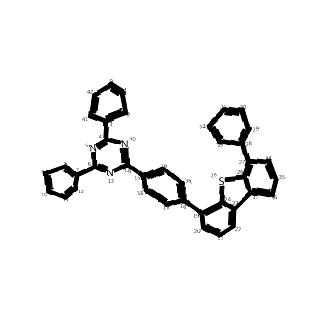 c1ccc(-c2nc(-c3ccccc3)nc(-c3ccc(-c4cccc5c4sc4c(-c6ccccc6)cccc45)cc3)n2)cc1